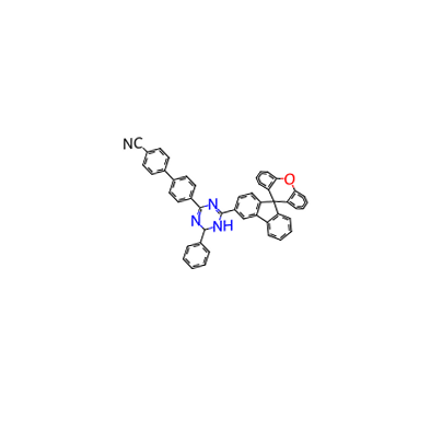 N#Cc1ccc(-c2ccc(C3=NC(c4ccccc4)NC(c4ccc5c(c4)-c4ccccc4C54c5ccccc5Oc5ccccc54)=N3)cc2)cc1